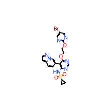 O=S(=O)(Nc1ncnc(OCCOc2ncc(Br)cn2)c1-c1ccc2ccnn2c1)C1CC1